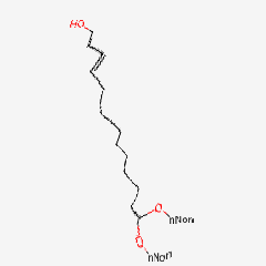 CCCCCCCCCOC(CCCCCCCC/C=C/CCO)OCCCCCCCCC